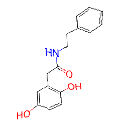 O=C(Cc1cc(O)ccc1O)NCCc1ccccc1